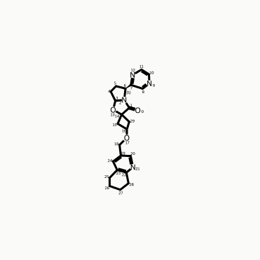 O=C1N2C(CC[C@H]2c2cnccn2)OC12CC(OCc1cnc3c(c1)CCCC3)C2